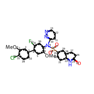 COc1cc(-c2cc(OC)c(N(c3cccnn3)S(=O)(=O)c3ccc4[nH]c(=O)ccc4c3)cc2F)ccc1Cl